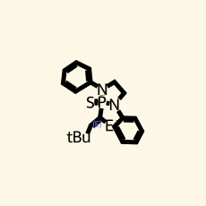 CC/C(=C\C(C)(C)C)P1(=S)N(c2ccccc2)CCN1c1ccccc1